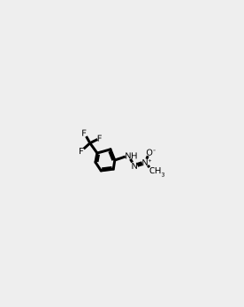 C[N+]([O-])=NNc1cccc(C(F)(F)F)c1